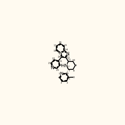 Cc1cccnc1[C@H]1CCCC(c2nc3ccccn3c2-c2ccncc2)N1